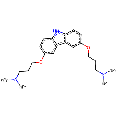 CCCN(CCC)CCCOc1ccc2[nH]c3ccc(OCCCN(CCC)CCC)cc3c2c1